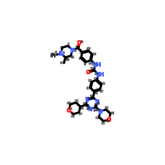 CC(C)N1CCN(C(=O)c2ccc(NC(=O)Nc3ccc(-c4nc(C5CCOCC5)nc(N5CCOCC5)n4)cc3)cc2)CC1C